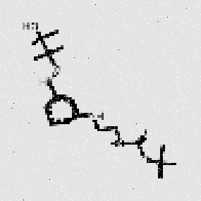 CC(C)(C)OC(=O)NCCNc1cccc(BOC(C)(C)C(C)(C)O)c1